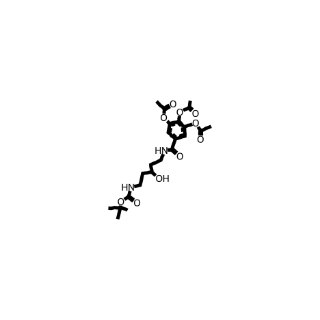 CC(=O)Oc1cc(C(=O)NCCC(O)CCNC(=O)OC(C)(C)C)cc(OC(C)=O)c1OC(C)=O